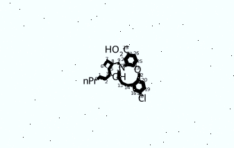 CCC/C=C/[C@@H](O)[C@@H]1CC[C@H]1CN1CCCCc2cc(Cl)ccc2COc2ccc(C(=O)O)cc21